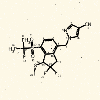 N#Cc1cnn(Cc2ccc(S(=O)(=O)C(F)(P)P)c3c2CC(F)(F)C3OI)c1